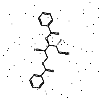 N=C[C@@H](F)[C@H](OC(=O)c1ccccc1)[C@H](O)COC(=O)c1ccccc1